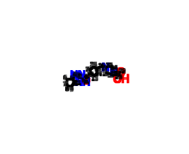 O=C(Nc1nc2ccccc2[nH]1)c1ccc(CN2CCN(C(=O)O)CC2)cc1